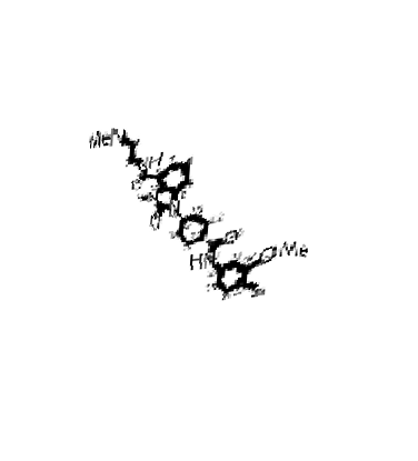 CNCCNC(=O)c1cccc2c1n(C)c(=O)n2[C@H]1CC[C@@H](C(=O)Nc2ccc(C)c(OC)c2)CC1